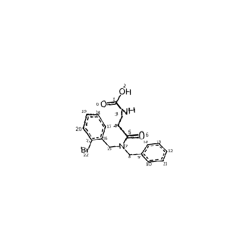 O=C(O)NCC(=O)N(Cc1ccccc1)Cc1ccccc1Br